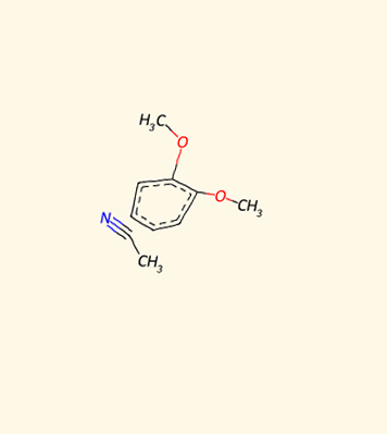 CC#N.COc1ccccc1OC